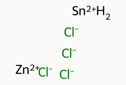 [Cl-].[Cl-].[Cl-].[Cl-].[SnH2+2].[Zn+2]